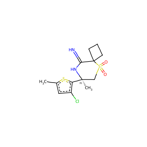 Cc1cc(Cl)c([C@]2(C)CS(=O)(=O)C3(CCC3)C(=N)N2)s1